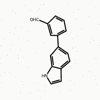 O=Cc1cccc(-c2ccc3cc[nH]c3c2)c1